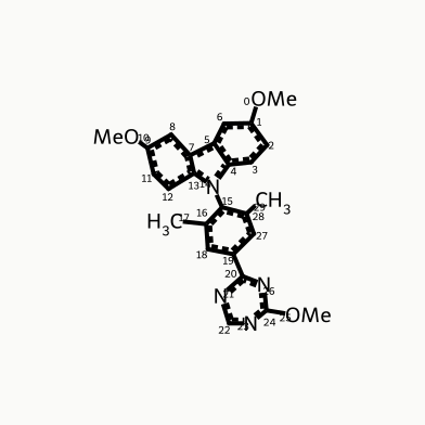 COc1ccc2c(c1)c1cc(OC)ccc1n2-c1c(C)cc(-c2ncnc(OC)n2)cc1C